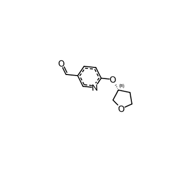 O=Cc1ccc(O[C@@H]2CCOC2)nc1